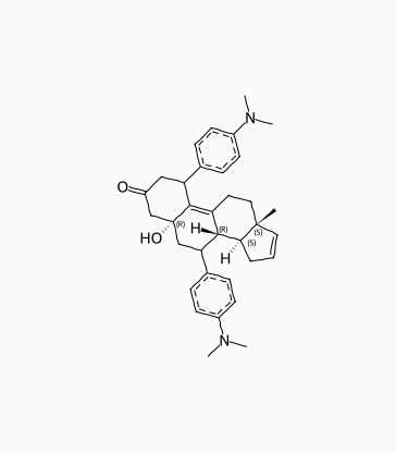 CN(C)c1ccc(C2CC(=O)C[C@]3(O)CC(c4ccc(N(C)C)cc4)[C@@H]4C(=C23)CC[C@]2(C)C=CC[C@@H]42)cc1